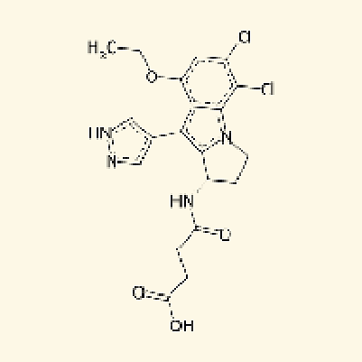 CCOc1cc(Cl)c(Cl)c2c1c(-c1cn[nH]c1)c1n2CC[C@@H]1NC(=O)CCC(=O)O